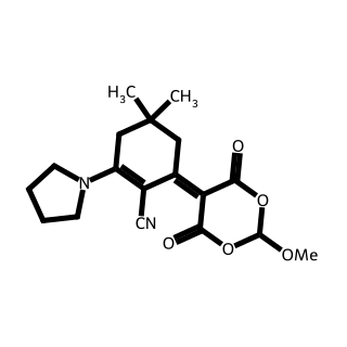 COC1OC(=O)C(=C2CC(C)(C)CC(N3CCCC3)=C2C#N)C(=O)O1